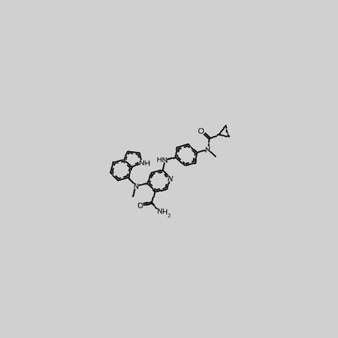 CN(C(=O)C1CC1)c1ccc(Nc2cc(N(C)c3cccc4cc[nH]c34)c(C(N)=O)cn2)cc1